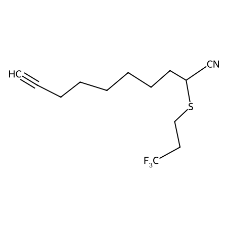 C#CCCCCCCC(C#N)SCCC(F)(F)F